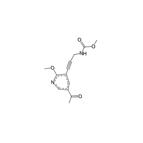 COC(=O)NCC#Cc1cc(C(C)=O)cnc1OC